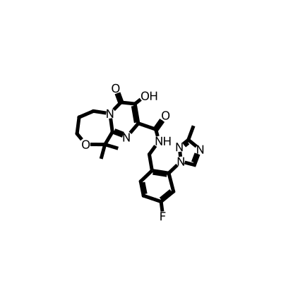 Cc1ncn(-c2cc(F)ccc2CNC(=O)c2nc3n(c(=O)c2O)CCCOC3(C)C)n1